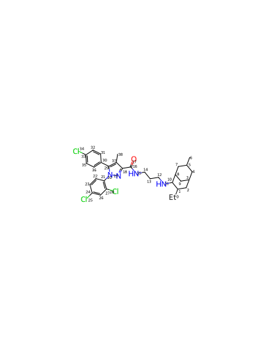 CCC1CC2CC(C)CC(C2)C1NCCCNC(=O)c1nn(-c2ccc(Cl)cc2Cl)c(-c2ccc(Cl)cc2)c1C